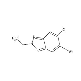 CC(C)c1cc2cn(CC(F)(F)F)nc2cc1Cl